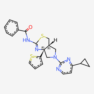 O=C(NC1=N[C@@]2(c3cccs3)CN(c3nccc(C4CC4)n3)C[C@H]2CS1)c1ccccc1